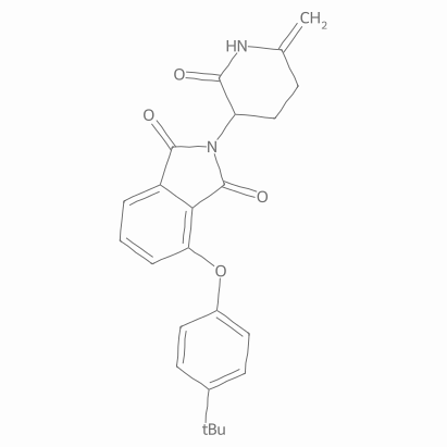 C=C1CCC(N2C(=O)c3cccc(Oc4ccc(C(C)(C)C)cc4)c3C2=O)C(=O)N1